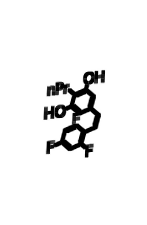 CCCc1c(O)cc(/C=C\c2c(F)cc(F)cc2F)cc1O